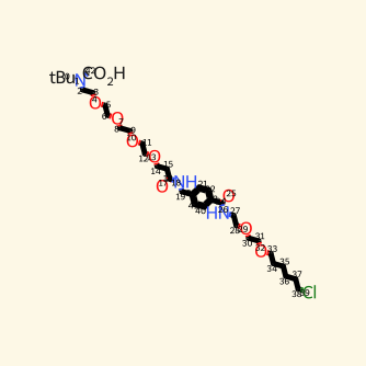 CC(C)(C)N(CCOCCOCCOCCOCCC(=O)NCc1ccc(C(=O)NCCOCCOCCCCCCCl)cc1)C(=O)O